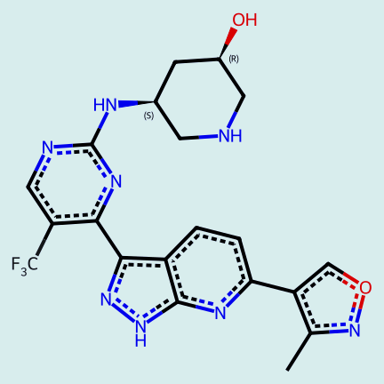 Cc1nocc1-c1ccc2c(-c3nc(N[C@@H]4CNC[C@H](O)C4)ncc3C(F)(F)F)n[nH]c2n1